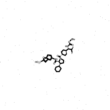 CC(C)(C)OC(=O)N[C@H](C(F)F)[C@H]1CC[C@H](C(=O)N2CC[C@@H](C3CCCCC3)[C@H]2C(=O)Nc2ccc3oc(C(=O)O)cc3c2)CC1